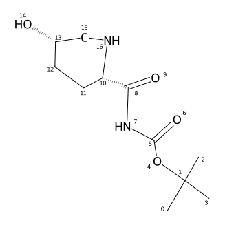 CC(C)(C)OC(=O)NC(=O)[C@@H]1CC[C@H](O)CN1